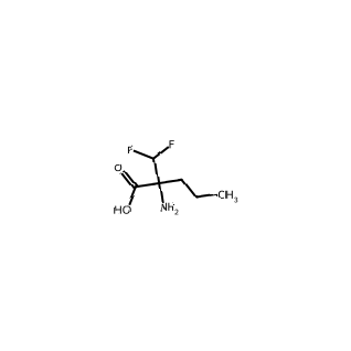 CCCC(N)(C(=O)O)C(F)F